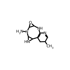 CC1C=NC2=C(C1)C1NC1N(N)C1OC1N2